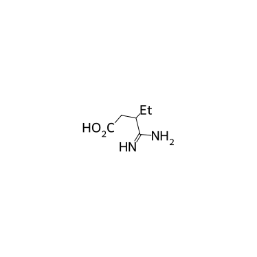 CCC(CC(=O)O)C(=N)N